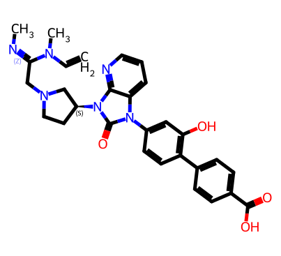 C=CN(C)/C(CN1CC[C@H](n2c(=O)n(-c3ccc(-c4ccc(C(=O)O)cc4)c(O)c3)c3cccnc32)C1)=N\C